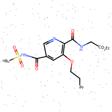 CCCCS(=O)(=O)NC(=O)c1cnc(C(=O)NCC(=O)OCC)c(OCCC(C)C)c1